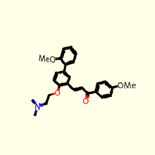 COc1ccc(C(=O)C=Cc2cc(-c3ccccc3OC)ccc2OCCN(C)C)cc1